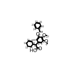 COc1cc(C(C(=O)O)C2C=CCCC2)cc(OCc2ccccc2)c1OC